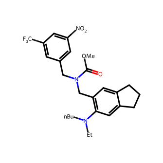 CCCCN(CC)c1cc2c(cc1CN(Cc1cc([N+](=O)[O-])cc(C(F)(F)F)c1)C(=O)OC)CCC2